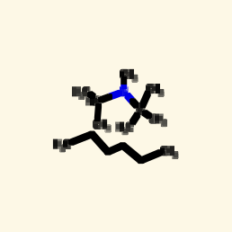 CCCCCC.CN([SiH](C)C)[Si](C)(C)C